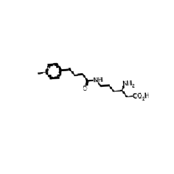 Cc1ccc(CCCC(=O)NCCCC(N)CC(=O)O)cc1